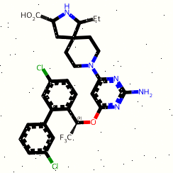 CCC1NC(C(=O)O)CC12CCN(c1cc(O[C@H](c3ccc(Cl)cc3-c3cccc(Cl)c3)C(F)(F)F)nc(N)n1)CC2